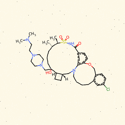 C[C@@H]1[C@@H](C)CCC[C@@](O)(CN2CCN(CCN(C)C)CC2)[C@@H]2CC[C@H]2CN2CCCCc3cc(Cl)ccc3COc3ccc(cc32)C(=O)NS1(=O)=O